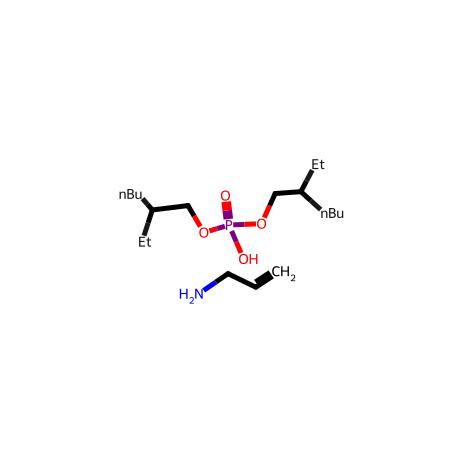 C=CCN.CCCCC(CC)COP(=O)(O)OCC(CC)CCCC